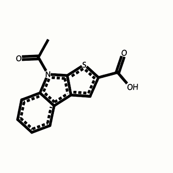 CC(=O)n1c2ccccc2c2cc(C(=O)O)sc21